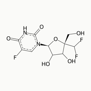 O=c1[nH]c(=O)n([C@H]2O[C@](CO)(C(F)F)C(O)C2O)cc1F